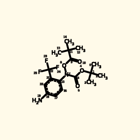 CC(C)(C)OC(=O)N(OC(=O)C(C)(C)C)c1ccc(N)cc1C(F)(F)F